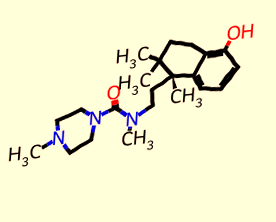 CN1CCN(C(=O)N(C)CC[C@@]2(C)c3cccc(O)c3CCC2(C)C)CC1